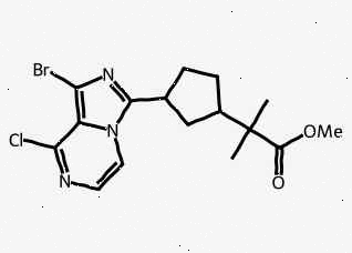 COC(=O)C(C)(C)C1CCC(c2nc(Br)c3c(Cl)nccn23)C1